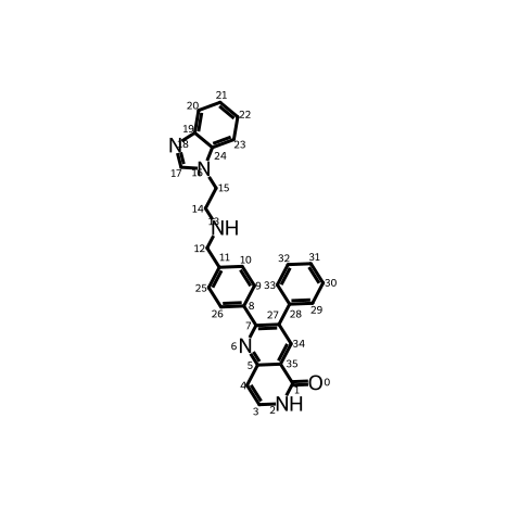 O=c1[nH]ccc2nc(-c3ccc(CNCCn4cnc5ccccc54)cc3)c(-c3ccccc3)cc12